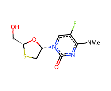 CNc1nc(=O)n([C@@H]2CS[C@H](CO)O2)cc1F